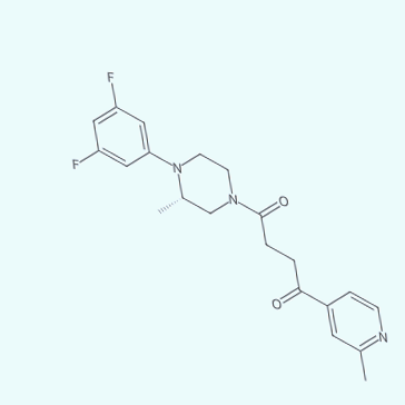 Cc1cc(C(=O)CCC(=O)N2CCN(c3cc(F)cc(F)c3)[C@@H](C)C2)ccn1